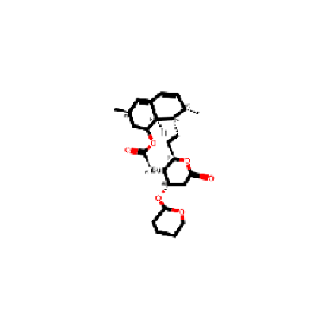 CC[C@H](C)C(=O)OC1C[C@@H](C)C=C2C=C[C@H](C)[C@H](CC[C@@H]3C[C@@H](OC4CCCCO4)CC(=O)O3)[C@H]21